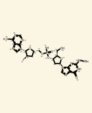 CC(C)(C)Nc1nc2c(ncn2[C@H]2C[C@H](OP(=O)(S)OC[C@@H]3C[C@@H](F)[C@H](n4cnc5c(N)ncnc54)O3)[C@@H](CO)O2)c(=O)[nH]1